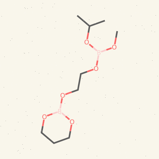 COB(OCCOB1OCCCO1)OC(C)C